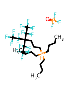 CCCC[PH](CCCC)(CCCC)CCCC(C(F)(F)C(F)(F)F)(C(F)(F)C(F)(F)F)C(F)(F)C(F)(F)F.O=P(F)(F)F